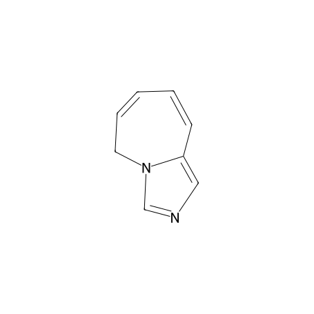 C1=CCn2cncc2C=C1